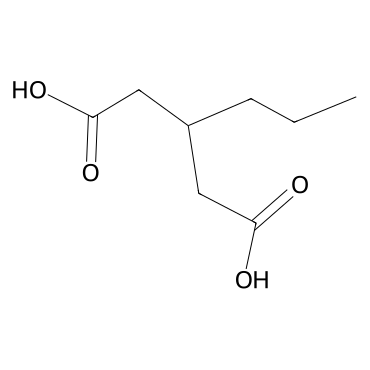 CCCC(CC(=O)O)CC(=O)O